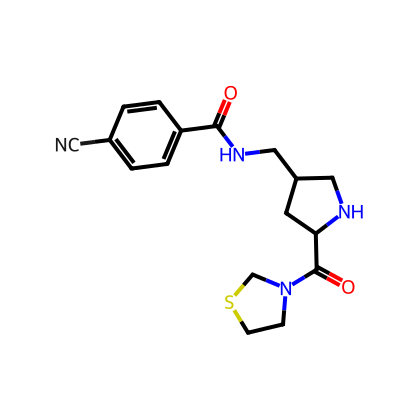 N#Cc1ccc(C(=O)NCC2CNC(C(=O)N3CCSC3)C2)cc1